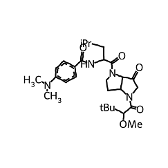 COC(C(=O)N1CC(=O)C2C1CCN2C(=O)C(CC(C)C)NC(=O)c1ccc(N(C)C)cc1)C(C)(C)C